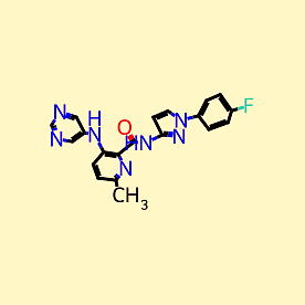 Cc1ccc(Nc2cncnc2)c(C(=O)Nc2ccn(-c3ccc(F)cc3)n2)n1